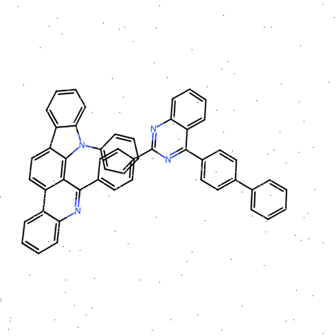 c1ccc(-c2ccc(-c3nc(-c4ccc(-c5nc6ccccc6c6ccc7c8ccccc8n(-c8ccccc8)c7c56)cc4)nc4ccccc34)cc2)cc1